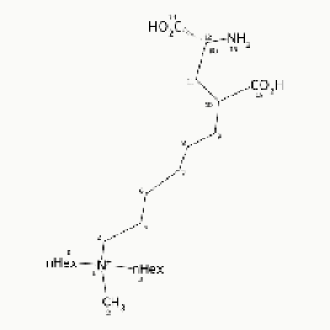 CCCCCC[N+](C)(CCCCCC)CCCCCCC(C[C@@H](N)C(=O)O)C(=O)O